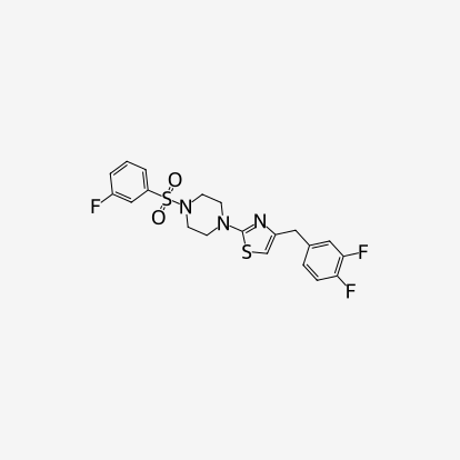 O=S(=O)(c1cccc(F)c1)N1CCN(c2nc(Cc3ccc(F)c(F)c3)cs2)CC1